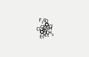 CCC(CC)c1ccc(Cl)c2nc(Nc3c(Cl)cc(OC(F)(F)F)cc3Cl)n(C)c12